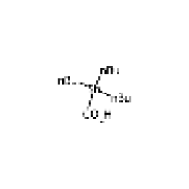 CCC[CH2][Sn]([CH2]CCC)([CH2]CCC)[C](=O)O